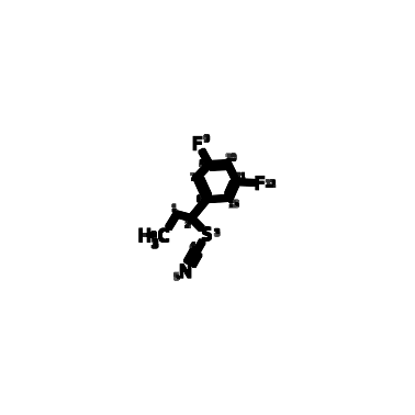 CCC(SC#N)c1cc(F)cc(F)c1